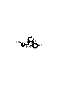 FC(F)(F)c1ccc2c(c1)[C@H]1OCCC[C@H]1C([C@H]1CC=C(Br)S1)N2